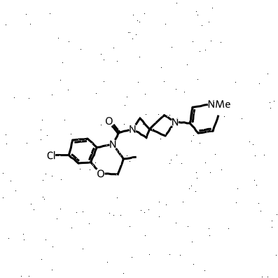 C/C=C\C(=C/NC)N1CC2(CN(C(=O)N3c4ccc(Cl)cc4OCC3C)C2)C1